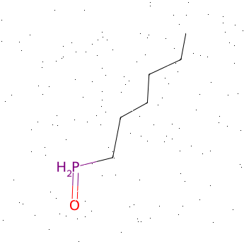 CCCCCC[PH2]=O